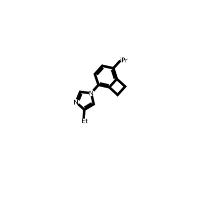 CCc1cn(-c2ccc(C(C)C)c3c2CC3)cn1